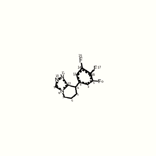 Fc1cc(C2CCCn3cnnc32)cc(F)c1F